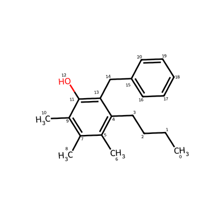 CCCCc1c(C)c(C)c(C)c(O)c1Cc1ccccc1